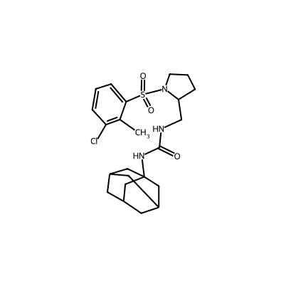 Cc1c(Cl)cccc1S(=O)(=O)N1CCCC1CNC(=O)NC12CC3CC(CC(C3)C1)C2